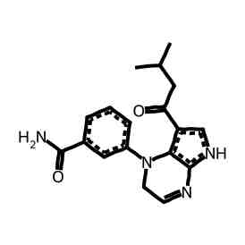 CC(C)CC(=O)c1c[nH]c2c1N(c1cccc(C(N)=O)c1)CC=N2